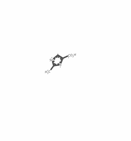 Cc1nc(C(=O)O)c[se]1